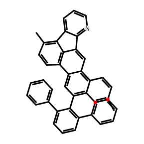 Cc1ccc2c(c1)c(-c1c(-c3ccccc3)cccc1-c1ccccc1)cc1c3ccc(C)c4c3c(cc21)-c1ncccc1-4